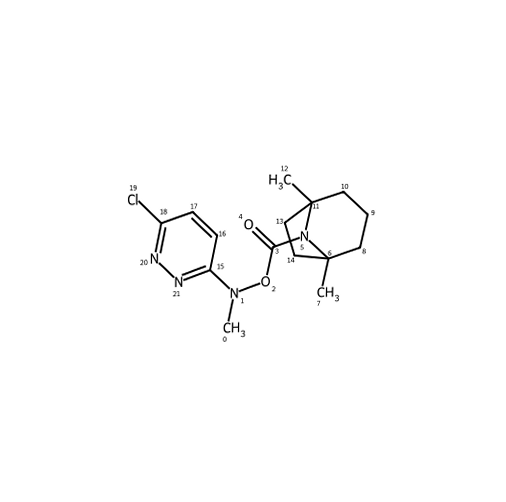 CN(OC(=O)N1C2(C)CCCC1(C)CC2)c1ccc(Cl)nn1